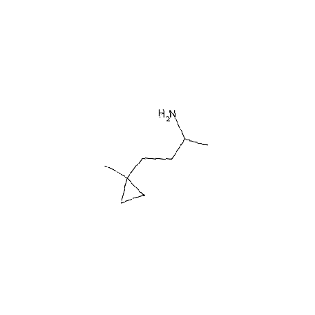 CC(N)CCC1(C)CC1